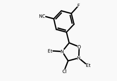 CCN1OC(c2cc(F)cc(C#N)c2)N(CC)C1Cl